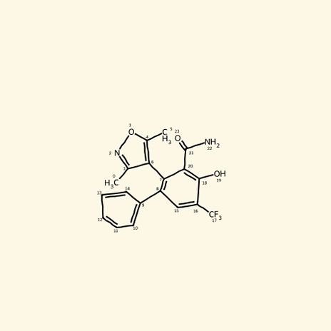 Cc1noc(C)c1-c1c(-c2ccccc2)cc(C(F)(F)F)c(O)c1C(N)=O